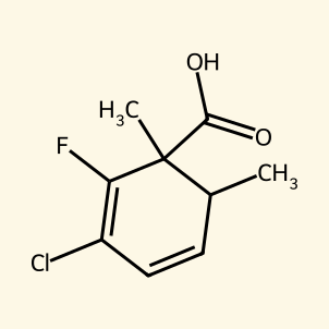 CC1C=CC(Cl)=C(F)C1(C)C(=O)O